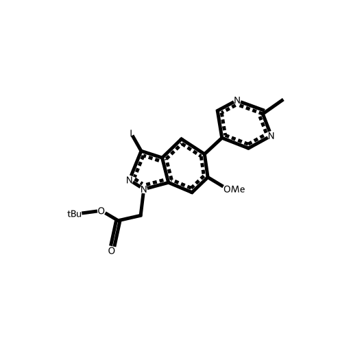 COc1cc2c(cc1-c1cnc(C)nc1)c(I)nn2CC(=O)OC(C)(C)C